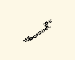 C=CNC(=C)N(CCC)Cc1ccc(C2CCN(CC(=C)N3CCN(c4ncc(-c5cnc6[nH]cc(C(=C)c7c(F)ccc(NSN(C)CC)c7F)c6c5)cn4)CC3)CC2)cc1